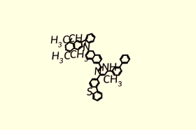 CC1=C(c2ccc3sc4ccccc4c3c2)N=C(C2=CC3=CC=C(n4c5ccccc5c5cc6c(cc54)C(C)(C)CCC6(C)C)CC3C=C2)NC1c1cccc(-c2ccccc2)c1